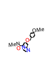 CNC(=O)c1cc(OCc2ccc(OC)cc2)cc2nccn12